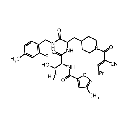 Cc1ccc(CNC(=O)C(CC2CCN(C(=O)C(C#N)=CC(C)C)CC2)NC(=O)[C@@H](NC(=O)c2cc(C)no2)[C@@H](C)O)c(F)c1